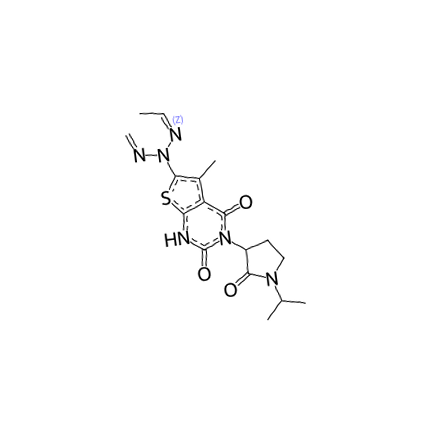 C=NN(/N=C\C)c1sc2[nH]c(=O)n(C3CCN(C(C)C)C3=O)c(=O)c2c1C